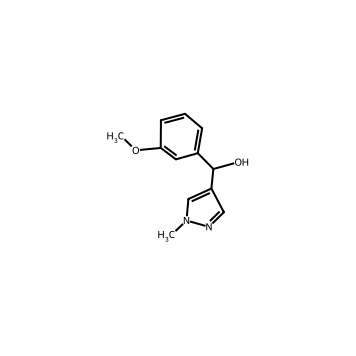 COc1cccc(C(O)c2cnn(C)c2)c1